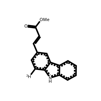 [2H]c1cc(C=CC(=O)OC)cc2c1[nH]c1ccccc12